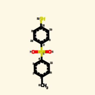 Cc1ccc(S(=O)(=O)c2ccc(S)cc2)cc1